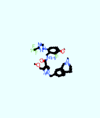 COCc1nn(Cc2ccc3c(c2)CN(C)CC3)cc1C(=O)NCc1c(-n2cnc(C(F)(F)F)n2)ccc(OC)c1F